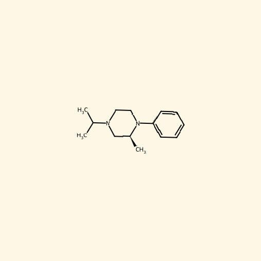 CC(C)N1CCN(c2ccccc2)[C@@H](C)C1